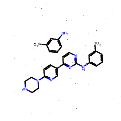 Nc1cccc([N+](=O)[O-])c1.O=[N+]([O-])c1cccc(Nc2nccc(-c3ccc(N4CCNCC4)nc3)n2)c1